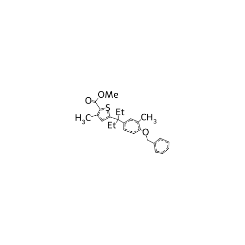 CCC(CC)(c1ccc(OCc2ccccc2)c(C)c1)c1cc(C)c(C(=O)OC)s1